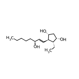 CCCCC[C@H](O)/C=C/[C@@H]1[C@@H](CC)[C@@H](O)C[C@H]1O